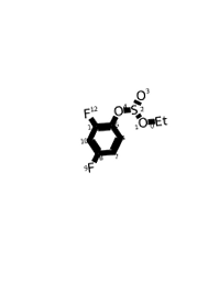 CCOS(=O)Oc1ccc(F)cc1F